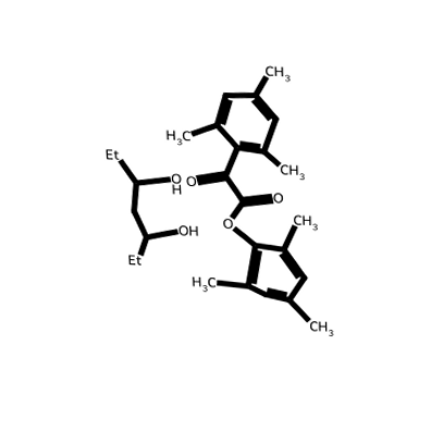 CCC(O)CC(O)CC.Cc1cc(C)c(OC(=O)C(=O)c2c(C)cc(C)cc2C)c(C)c1